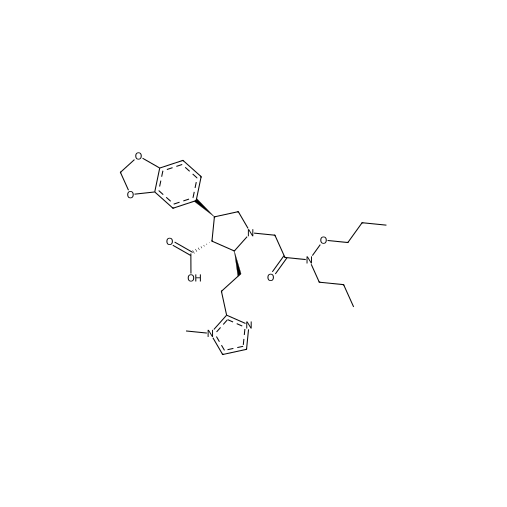 CCCON(CCC)C(=O)CN1C[C@H](c2ccc3c(c2)OCO3)[C@@H](C(=O)O)[C@@H]1CCc1nccn1C